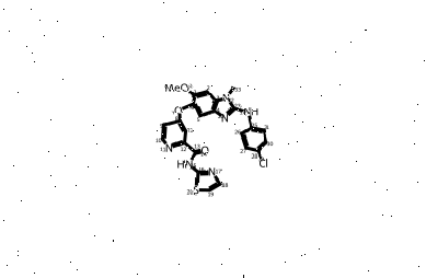 COc1cc2c(cc1Oc1ccnc(C(=O)Nc3nccs3)c1)nc(Nc1ccc(Cl)cc1)n2C